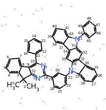 CC1(C)c2ccccc2-c2c(-c3ccccc3)nc(-c3cccc(-n4c5ccccc5c5cc6c(cc54)c4ccccc4n6-c4ccccc4)c3)nc21